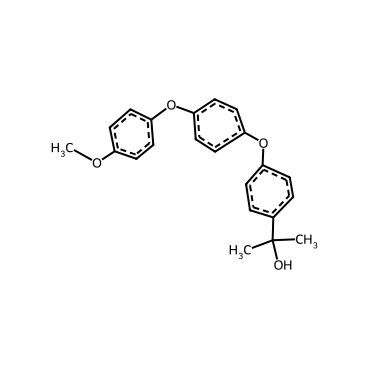 COc1ccc(Oc2ccc(Oc3ccc(C(C)(C)O)cc3)cc2)cc1